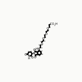 O=C(O)CCOCCOCCOCCOCCNc1cccc2c1C(=O)N([C@H]1CCC(=O)NC1=O)C2=O